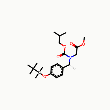 COC(=O)CN(C(=O)OCC(C)C)[C@H](C)c1ccc(O[Si](C)(C)C(C)(C)C)cc1